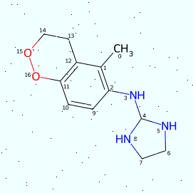 Cc1c(NC2NCCN2)ccc2c1CCOO2